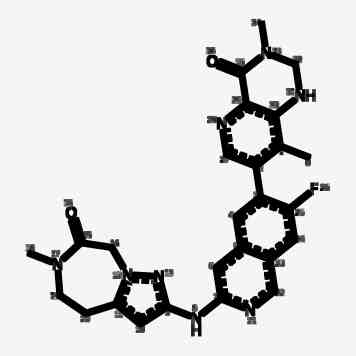 Cc1c(-c2cc3cc(Nc4cc5n(n4)CC(=O)N(C)CC5)ncc3cc2F)cnc2c1NCN(C)C2=O